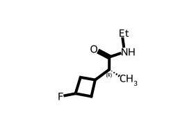 CCNC(=O)[C@H](C)C1CC(F)C1